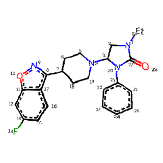 CCN1CC(N2CCC(c3noc4cc(F)ccc34)CC2)N(c2ccccc2)C1=O